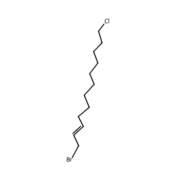 ClCCCCCCCCCC=CCBr